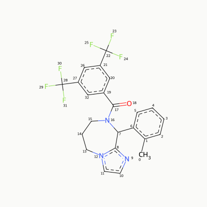 Cc1ccccc1C1c2nccn2CCCN1C(=O)c1cc(C(F)(F)F)cc(C(F)(F)F)c1